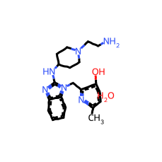 Cc1ccc(O)c(Cn2c(NC3CCN(CCN)CC3)nc3ccccc32)n1.O